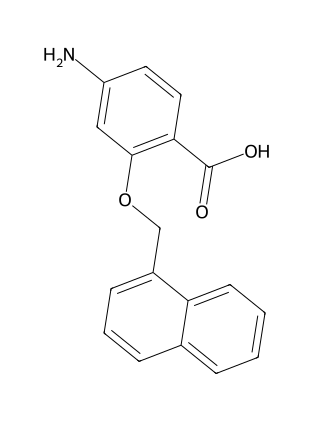 Nc1ccc(C(=O)O)c(OCc2cccc3ccccc23)c1